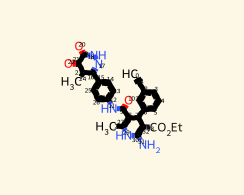 C#Cc1cccc(C2C(C(=O)Nc3ccc(C4=NNC(=O)C(=O)C4C)cc3)=C(C)NC(N)=C2C(=O)OCC)c1